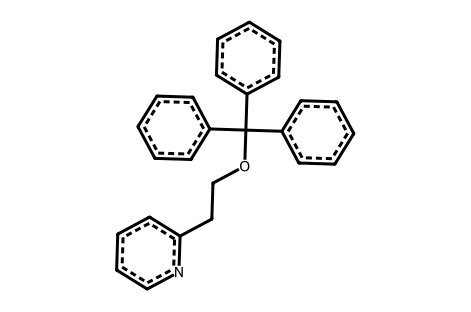 c1ccc(C(OCCc2ccccn2)(c2ccccc2)c2ccccc2)cc1